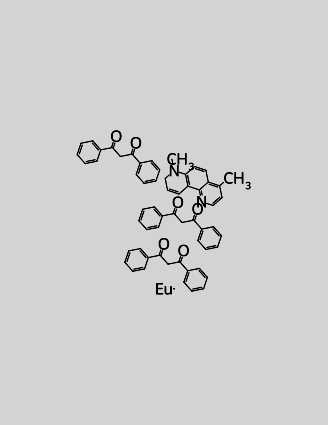 Cc1ccnc2c3c(ccc12)N(C)CC=C3.O=C(CC(=O)c1ccccc1)c1ccccc1.O=C(CC(=O)c1ccccc1)c1ccccc1.O=C(CC(=O)c1ccccc1)c1ccccc1.[Eu]